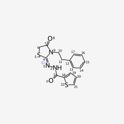 O=C(N/N=C1/SCC(=O)N1CCc1ccccc1)c1cccs1